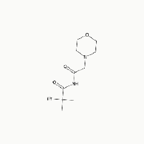 CC(C)C(C)(C)C(=O)NC(=O)CN1CCOCC1